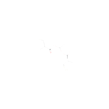 CC(OC(=O)C(C)CS)OC(=O)C(C)CS